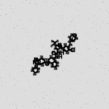 CC(C)(C)c1cc(NC(=O)N[C@H]2CC[C@@H](Oc3ccc4nnc(N5CCCCC5)n4c3)c3ccccc32)n(-c2ccc(Cl)c(CCN3CCOCC3)c2)n1